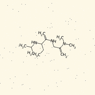 C=C(NCC(=C)N(C)C)C(CC)NC(C)C